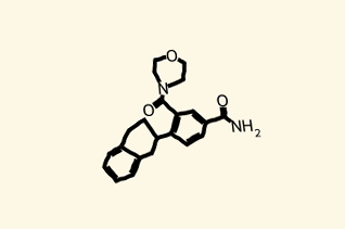 NC(=O)c1ccc(C2CCc3ccccc3C2)c(C(=O)N2CCOCC2)c1